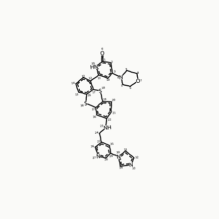 O=c1cc(N2CCOCC2)cc(-c2cccc3c2Sc2ccc(NCc4cncc(-n5ccnc5)c4)cc2S3)[nH]1